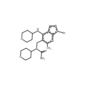 CCn1ncc2c(NC3CCOCC3)c(CN(C(N)=O)C3CCOCC3)c(C)nc21